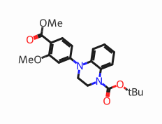 COC(=O)c1ccc(N2CCN(C(=O)OC(C)(C)C)c3ccccc32)cc1OC